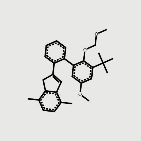 COCOc1c(-c2ccccc2C2=Cc3c(C)ccc(C)c3C2)cc(OC)cc1C(C)(C)C